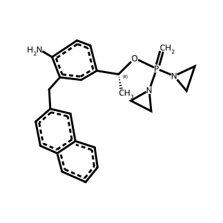 C=P(O[C@H](C)c1ccc(N)c(Cc2ccc3ccccc3c2)c1)(N1CC1)N1CC1